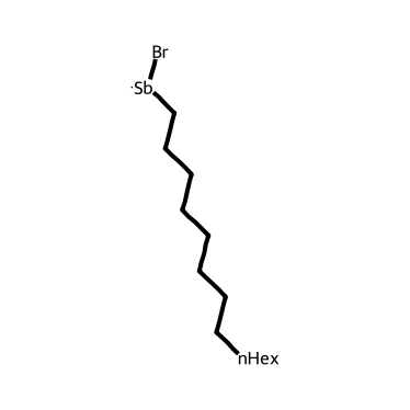 CCCCCCCCCCCCC[CH2][Sb][Br]